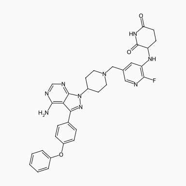 Nc1ncnc2c1c(-c1ccc(Oc3ccccc3)cc1)nn2C1CCN(Cc2cnc(F)c(NC3CCC(=O)NC3=O)c2)CC1